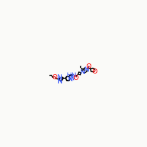 CCCOCc1ncc(-c2ccn3nc(NC(=O)[C@H]4C[C@@H](N5CCN(C(=O)C6CCOCC6)C[C@@H]5CC)C4)cc3c2)cn1